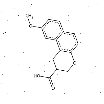 COc1ccc2ccc3c(c2c1)CC(C(=O)O)CO3